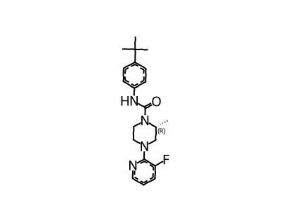 C[C@@H]1CN(c2ncccc2F)CCN1C(=O)Nc1ccc(C(C)(C)C)cc1